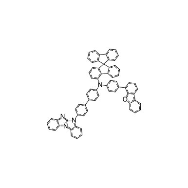 c1ccc2c(c1)-c1ccccc1C21c2ccccc2-c2c(N(c3ccc(-c4ccc(-n5c6ccccc6n6c7ccccc7nc56)cc4)cc3)c3ccc(-c4cccc5c4oc4ccccc45)cc3)cccc21